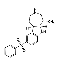 CC1CNCC[C@@H]2c3cc(S(=O)(=O)c4ccccc4)ccc3N[C@@H]12